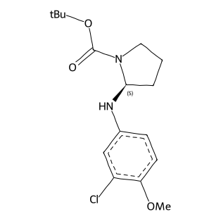 COc1ccc(N[C@@H]2CCCN2C(=O)OC(C)(C)C)cc1Cl